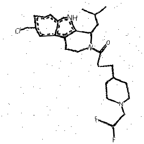 CC(C)CC1c2[nH]c3ccc(Cl)cc3c2CCN1C(=O)CCC1CCN(CC(F)F)CC1